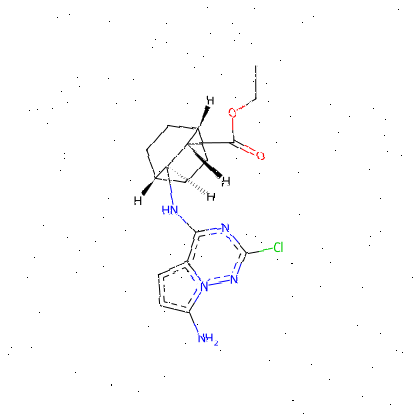 CCOC(=O)[C@H]1[C@H]2CC[C@H](CC2)[C@@H]1Nc1nc(Cl)nn2c(N)ccc12